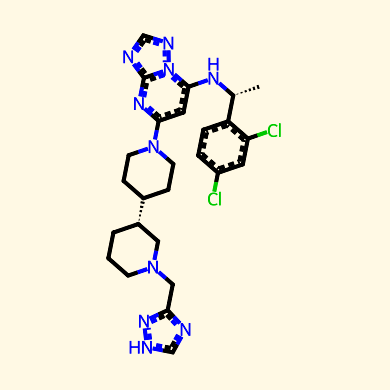 C[C@@H](Nc1cc(N2CCC([C@H]3CCCN(Cc4nc[nH]n4)C3)CC2)nc2ncnn12)c1ccc(Cl)cc1Cl